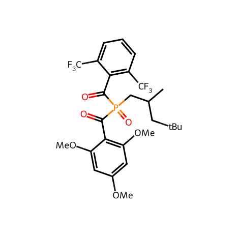 COc1cc(OC)c(C(=O)P(=O)(CC(C)CC(C)(C)C)C(=O)c2c(C(F)(F)F)cccc2C(F)(F)F)c(OC)c1